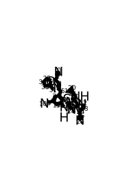 N#CCCN(Cc1cc(C#N)cc(Nc2nc(NC3CC3)c3ncc(C#N)n3n2)c1Cl)CC1CCCO1